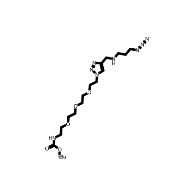 CC(C)(C)OC(=O)NCCOCCOCCOCCn1cc(CNCCCN=[N+]=[N-])nn1